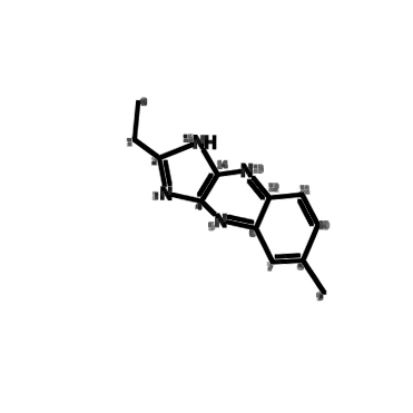 CCc1nc2nc3cc(C)ccc3nc2[nH]1